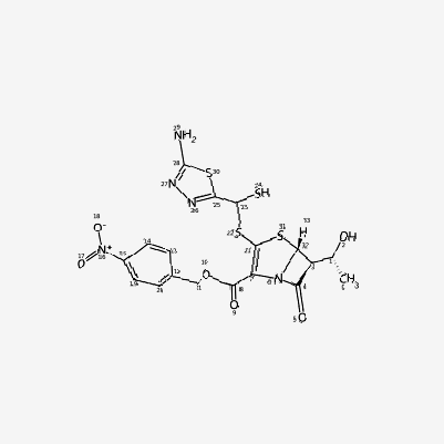 C[C@@H](O)[C@H]1C(=O)N2C(C(=O)OCc3ccc([N+](=O)[O-])cc3)=C(SC(S)c3nnc(N)s3)S[C@H]12